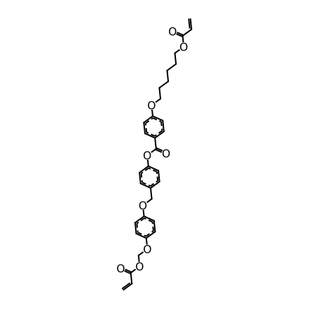 C=CC(=O)OCCCCCCOc1ccc(C(=O)Oc2ccc(COc3ccc(OCOC(=O)C=C)cc3)cc2)cc1